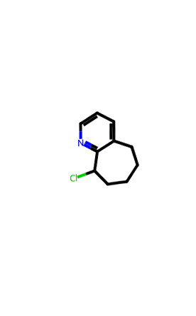 ClC1CCCCc2cccnc21